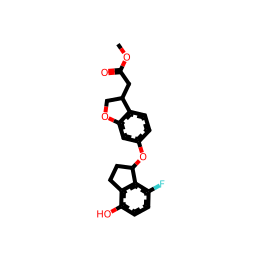 COC(=O)CC1COc2cc(OC3CCc4c(O)ccc(F)c43)ccc21